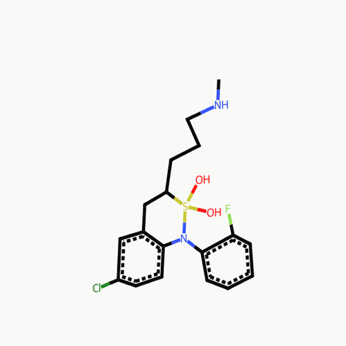 CNCCCC1Cc2cc(Cl)ccc2N(c2ccccc2F)S1(O)O